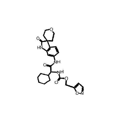 O=C(NC(C(=O)Nc1ccc2c(c1)NC(=O)C21CCOCC1)C1CCCCC1)OCc1ccno1